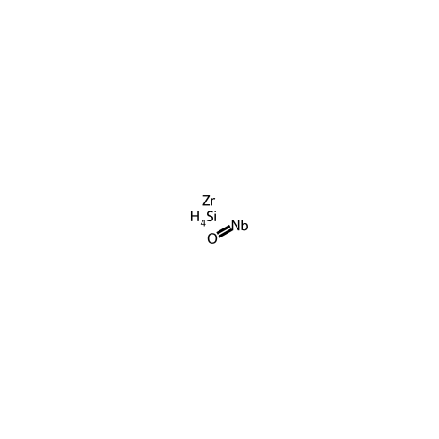 [O]=[Nb].[SiH4].[Zr]